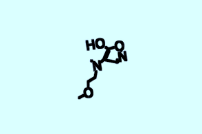 COCCN(C)c1cnoc1O